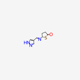 O=C1CCC(N=Cc2cn[nH]c2)S1